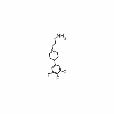 NCCCN1CCC(c2cc(F)c(F)c(F)c2)CC1